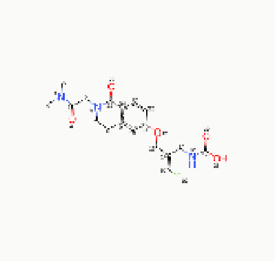 CN(C)C(=O)CN1CCc2cc(OC/C(=C/F)CNC(=O)O)ccc2C1=O